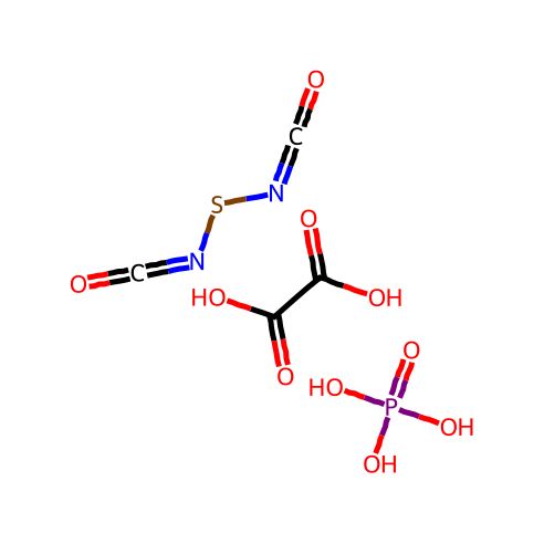 O=C(O)C(=O)O.O=C=NSN=C=O.O=P(O)(O)O